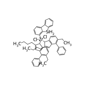 CCCCC1=Cc2c(ccc(CC)c2-c2ccccc2)[CH]1[Zr]([Cl])([Cl])([c]1cccc2c1[SiH2]c1ccccc1-2)[CH]1C(CCCC)=Cc2c1ccc(CC)c2-c1ccccc1